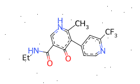 CCNC(=O)c1c[nH]c(C)c(-c2ccnc(C(F)(F)F)c2)c1=O